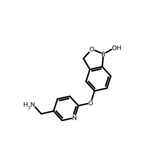 NCc1ccc(Oc2ccc3c(c2)COB3O)nc1